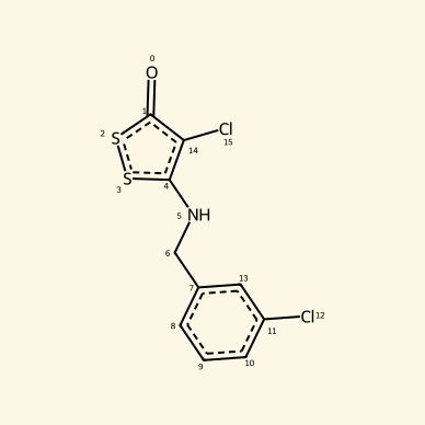 O=c1ssc(NCc2cccc(Cl)c2)c1Cl